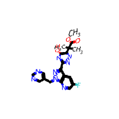 COC(=O)C(C)(C)c1nnc(-c2nn(Cc3cncnc3)c3ncc(F)cc23)nc1O